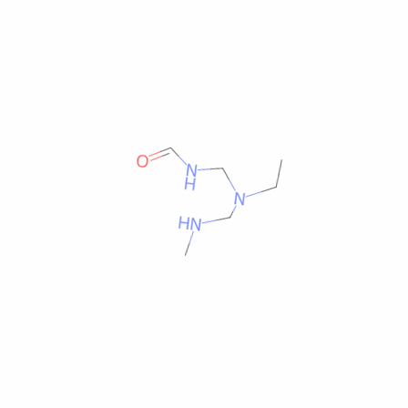 CCN(CNC)CNC=O